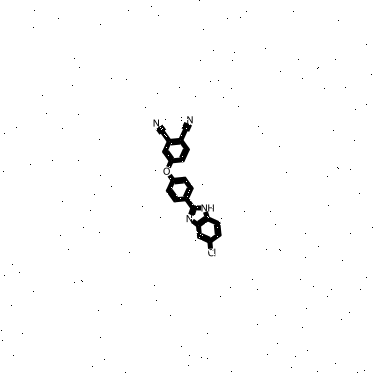 N#Cc1ccc(Oc2ccc(-c3nc4cc(Cl)ccc4[nH]3)cc2)cc1C#N